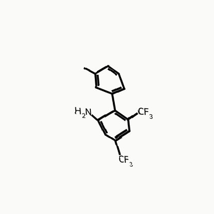 Cc1cccc(-c2c(N)cc(C(F)(F)F)cc2C(F)(F)F)c1